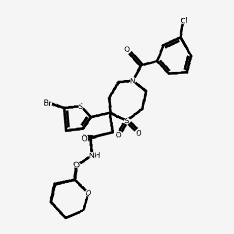 O=C(CC1(c2ccc(Br)s2)CCN(C(=O)c2cccc(Cl)c2)CCS1(=O)=O)NOC1CCCCO1